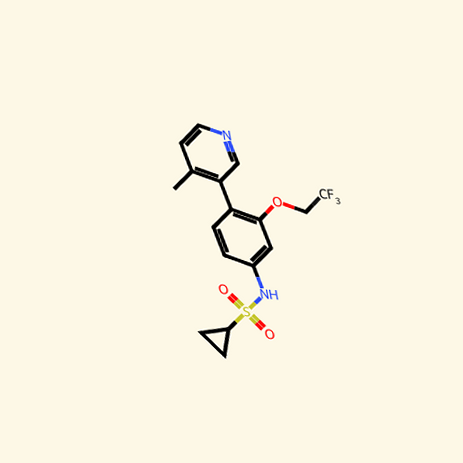 Cc1ccncc1-c1ccc(NS(=O)(=O)C2CC2)cc1OCC(F)(F)F